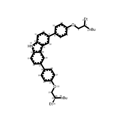 CCCCC(CC)COc1ccc(-c2ccc3[nH]c4ccc(-c5ccc(OC[C@H](CC)CCCC)cc5)cc4c3c2)cc1